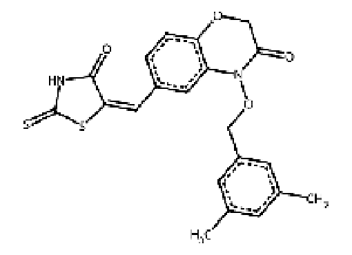 Cc1cc(C)cc(CON2C(=O)COc3ccc(C=C4SC(=S)NC4=O)cc32)c1